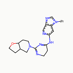 CC(C)n1cnc2cnc(NC3=NC(N4CCC5OCCC5C4)=NCC3)cc21